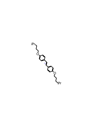 CC(C)CCCOc1ccc(/C=C/c2ccc(OCCCC(C)C)cc2)cc1